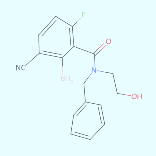 Bc1c(C#N)ccc(F)c1C(=O)N(CCO)Cc1ccccc1